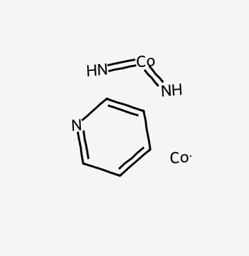 [Co].[NH]=[Co]=[NH].c1ccncc1